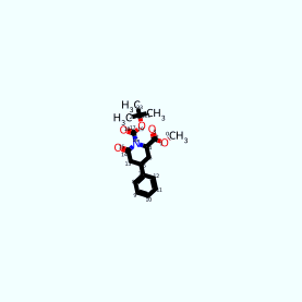 COC(=O)C1CC(c2ccccc2)CC(=O)N1C(=O)OC(C)(C)C